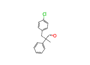 CC(C=O)(Cc1ccc(Cl)cc1)c1ccccc1